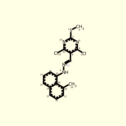 CSc1nc(Cl)c(/C=N/Nc2cccc3cccc(C)c23)c(Cl)n1